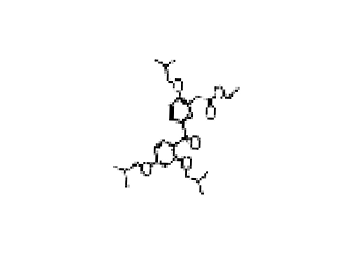 CCOC(=O)Cc1cc(C(=O)c2ccc(OCC(C)C)cc2OCC(C)C)ccc1OCC(C)C